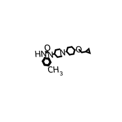 Cc1ccc2[nH]c(=O)n(C3CCN([C@H]4CC[C@H](OCC5CC5)CC4)CC3)c2c1